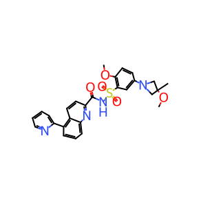 COc1ccc(N2CC(C)(OC)C2)cc1S(=O)(=O)NC(=O)c1ccc2c(-c3ccccn3)cccc2n1